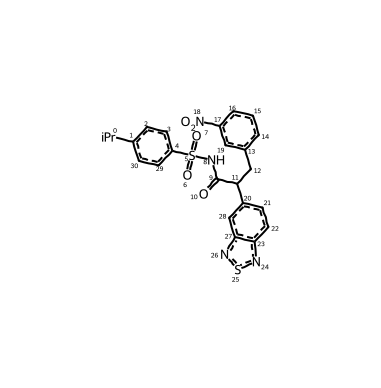 CC(C)c1ccc(S(=O)(=O)NC(=O)C(Cc2cccc([N+](=O)[O-])c2)c2ccc3nsnc3c2)cc1